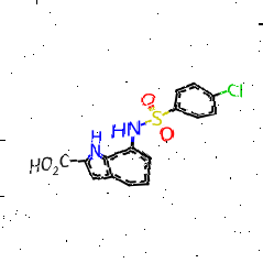 O=C(O)c1cc2cccc(NS(=O)(=O)c3ccc(Cl)cc3)c2[nH]1